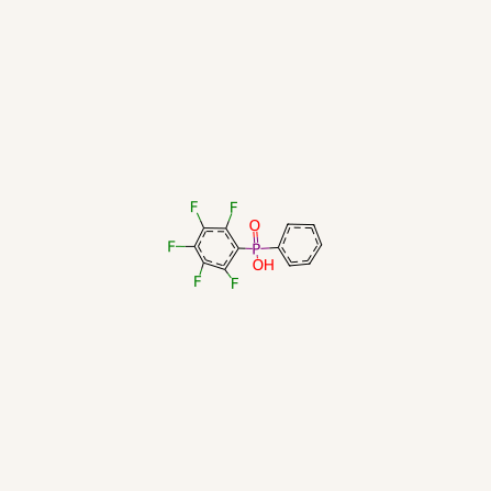 O=P(O)(c1ccccc1)c1c(F)c(F)c(F)c(F)c1F